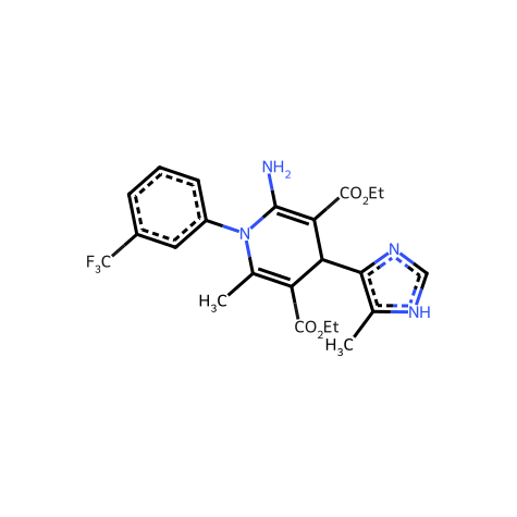 CCOC(=O)C1=C(C)N(c2cccc(C(F)(F)F)c2)C(N)=C(C(=O)OCC)C1c1nc[nH]c1C